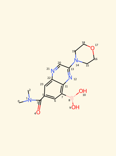 CN(C)C(=O)c1cc(B(O)O)c2nc(N3CCOCC3)cnc2c1